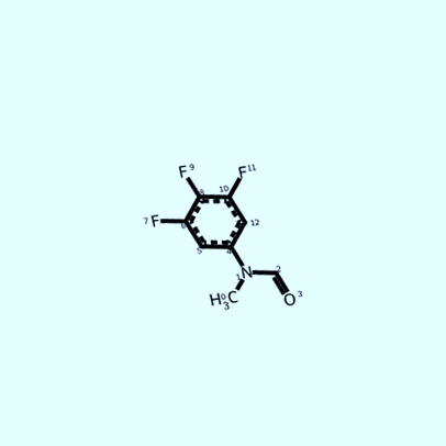 CN(C=O)c1cc(F)c(F)c(F)c1